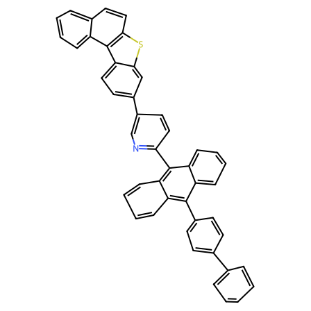 c1ccc(-c2ccc(-c3c4ccccc4c(-c4ccc(-c5ccc6c(c5)sc5ccc7ccccc7c56)cn4)c4ccccc34)cc2)cc1